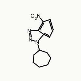 O=[N+]([O-])c1cccc2c1nnn2C1CCCCCC1